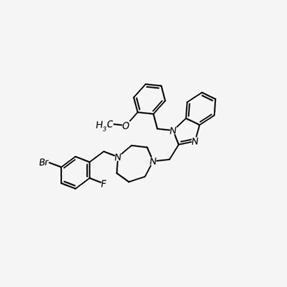 COc1ccccc1Cn1c(CN2CCCN(Cc3cc(Br)ccc3F)CC2)nc2ccccc21